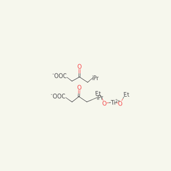 CC(C)CC(=O)CC(=O)[O-].CC(C)CC(=O)CC(=O)[O-].CC[O][Ti+2][O]CC